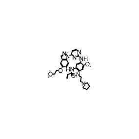 C=CC(=O)Nc1cc(Nc2nccc(-n3ncc4cc(OCCOC)ccc43)n2)c(OC)cc1N(C)CCN1CCCC1